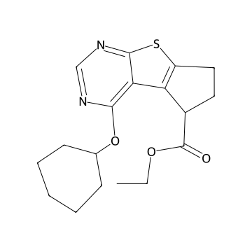 CCOC(=O)C1CCc2sc3ncnc(OC4CCCCC4)c3c21